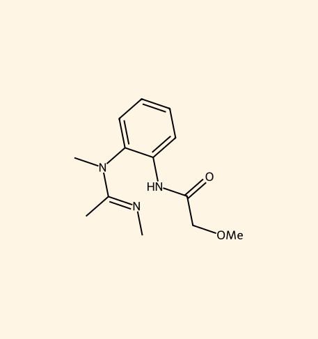 CN=C(C)N(C)c1ccccc1NC(=O)COC